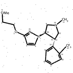 COCCOc1ccn([C@H]2CN(C)C[C@@H]2c2ccccc2C(F)(F)F)n1